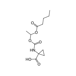 CCCCC(=O)OC(C)OC(=O)NC1(C(=O)O)CC1